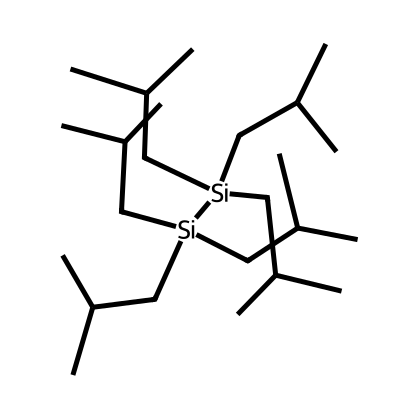 CC(C)C[Si](CC(C)C)(CC(C)C)[Si](CC(C)C)(CC(C)C)CC(C)C